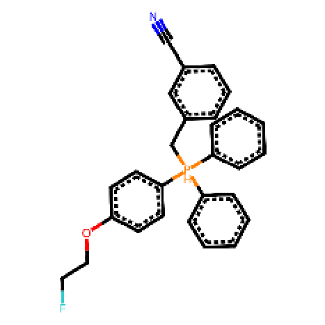 N#Cc1cccc(C[PH](c2ccccc2)(c2ccccc2)c2ccc(OCCF)cc2)c1